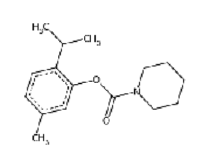 Cc1ccc(C(C)C)c(OC(=O)N2CCCCC2)c1